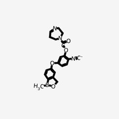 [C-]#[N+]c1ccc(Oc2ccc3c(c2)COB3C)cc1OCC(=O)N1CCC=NCC1